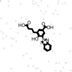 O=C(O)CCCc1cc(C(=O)O)cc(-n2nc3ccccc3n2)c1O